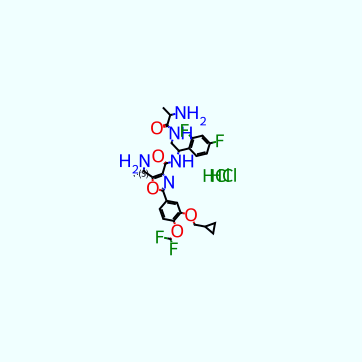 CC(N)C(=O)NCC(NC(=O)c1nc(-c2ccc(OC(F)F)c(OCC3CC3)c2)oc1[C@H](C)N)c1ccc(F)cc1F.Cl.Cl